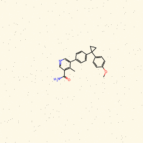 COc1ccc(C2(c3ccc(-c4cncc(C(N)=O)c4C)cc3)CC2)cc1